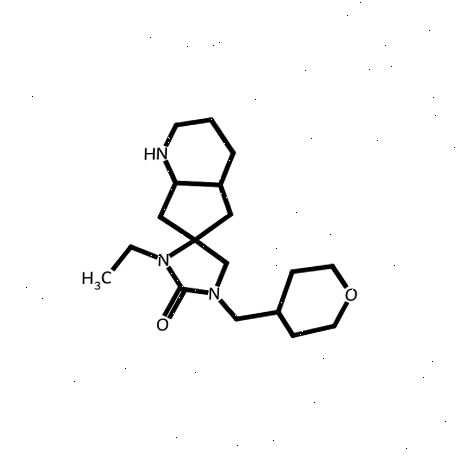 CCN1C(=O)N(CC2CCOCC2)CC12CC1CCCNC1C2